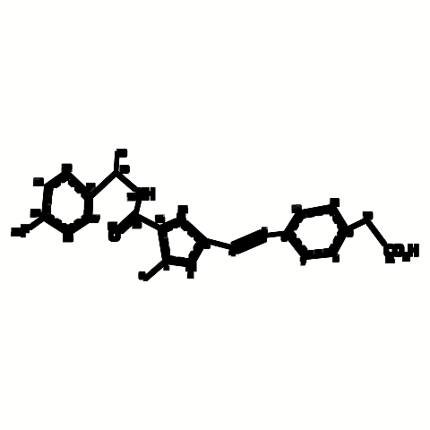 Cc1nc(C#Cc2ccc(CC(=O)O)cc2)sc1C(=O)NC(C)c1ccc(F)cc1